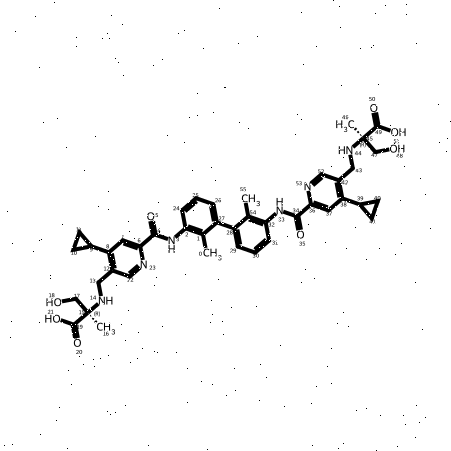 Cc1c(NC(=O)c2cc(C3CC3)c(CN[C@](C)(CO)C(=O)O)cn2)cccc1-c1cccc(NC(=O)c2cc(C3CC3)c(CN[C@](C)(CO)C(=O)O)cn2)c1C